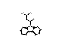 CCC(CC(C)C(C)C)n1c2ccccc2c2ccccc21